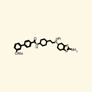 CCCN(CCC1CCC(NC(=O)c2ccc(-c3cccc(OC)c3)cc2)CC1)[C@H]1CCc2nc(N)sc2C1